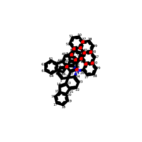 C1=CC2(C3=Cc4ccccc4C3=C1)C1=Cc3ccccc3C1=CC=C2N(c1ccccc1-c1cccc2ccccc12)c1c2c(cc(-c3ccccc3)c1-c1ccccc1)-c1ccccc1C2